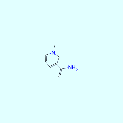 C=C(N)C1=CC=CN(C)C1